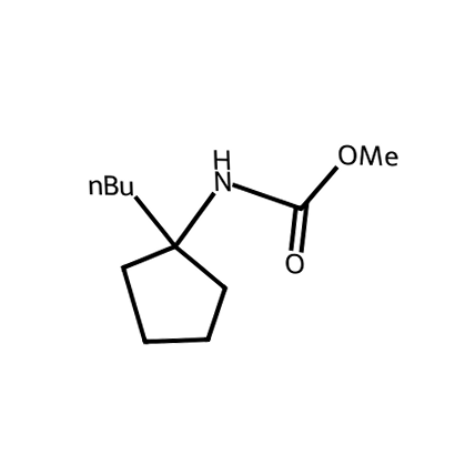 CCCCC1(NC(=O)OC)CCCC1